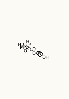 CCC(C)(C)C(=O)OCC(=O)OC1C2CC3(O)CC(O2)C1O3